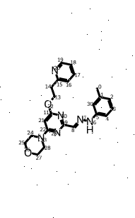 Cc1cccc(N/N=C/c2nc(OCCc3ccccn3)cc(N3CCOCC3)n2)c1